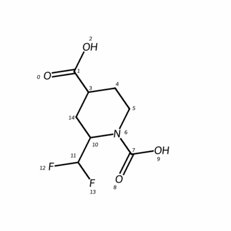 O=C(O)C1CCN(C(=O)O)C(C(F)F)C1